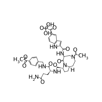 CC(=O)N1CC[C@H]2CC[C@@H](C(=O)N[C@@H](CCC(N)=O)C(=O)NCc3ccc(S(C)(=O)=O)cc3)N2C(=O)[C@@H](NC(=O)c2cc3cc(C(=O)P(=O)(O)O)ccc3[nH]2)C1